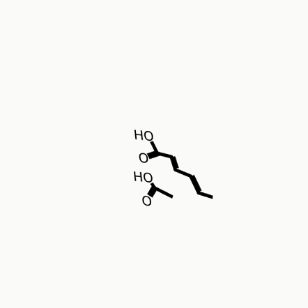 C/C=C/C=C/C(=O)O.CC(=O)O